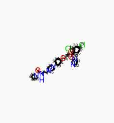 O=C(NCCN1CCN(c2ccc(OC[C@@H]3CO[C@@](Cn4ccnc4)(c4ccc(Cl)cc4Cl)O3)cc2)CC1)N1CCCC1